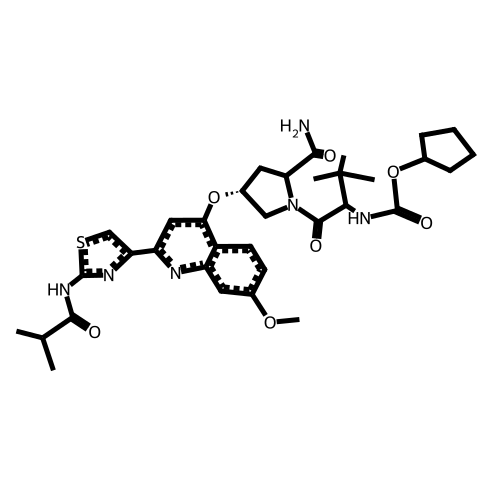 COc1ccc2c(O[C@@H]3CC(C(N)=O)N(C(=O)C(NC(=O)OC4CCCC4)C(C)(C)C)C3)cc(-c3csc(NC(=O)C(C)C)n3)nc2c1